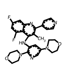 Cc1c(-c2ccncc2)nc2cc(F)cc(F)c2c1Nc1cc(N2CCOCC2)cnc1N1CCOCC1